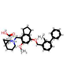 COc1cc(OCc2cccc(-c3ccccc3)c2C)c2c(c1CN1CCC[C@H]3C[C@]31C(=O)O)CCC2